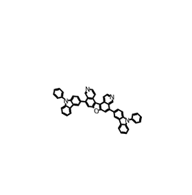 c1ccc(-n2c3ccccc3c3cc(-c4cc5oc6cc(-c7ccc8c(c7)c7ccccc7n8-c7ccccc7)c7cnccc7c6c5c5ccncc45)ccc32)cc1